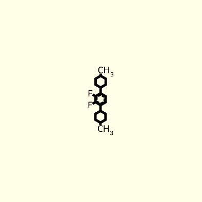 CC1CCC(c2ccc(C3CCC(C)CC3)c(F)c2F)CC1